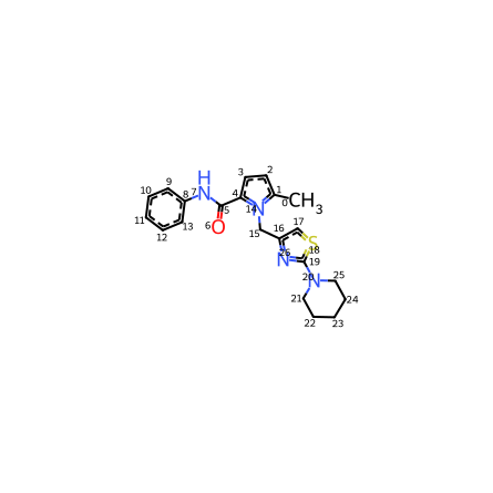 Cc1ccc(C(=O)Nc2ccccc2)n1Cc1csc(N2CCCCC2)n1